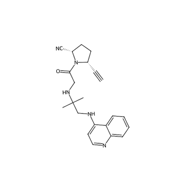 C#C[C@H]1CC[C@@H](C#N)N1C(=O)CNC(C)(C)CNc1ccnc2ccccc12